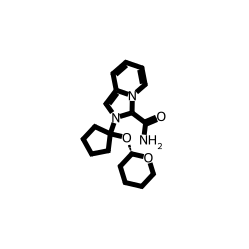 NC(=O)C1N2C=CC=CC2=CN1C1(O[C@H]2CCCCO2)CCCC1